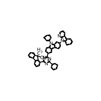 CC1(C)c2ccccc2-c2cccc(-c3nc(-c4ccccc4)nc(-c4ccc5c(c4)c4ccc(-n6c7ccccc7c7cccnc76)cc4n5-c4ccccc4)n3)c21